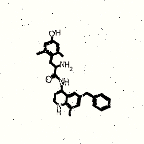 Cc1cc(O)cc(C)c1CC(N)C(=O)NC1CCNc2c(C)cc(Cc3ccccc3)cc21